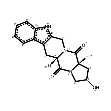 O=C1[C@@H]2C[C@H](O)CN2C(=O)[C@@H]2Cc3c([nH]c4ccccc34)CN12